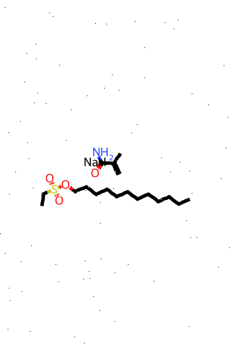 C=C(C)C(N)=O.CCCCCCCCCCCCOS(=O)(=O)CC.[NaH]